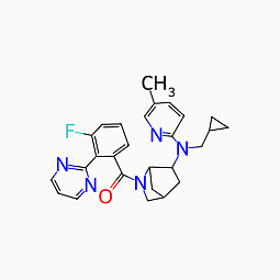 Cc1ccc(N(CC2CC2)C2CC3CC2N(C(=O)c2cccc(F)c2-c2ncccn2)C3)nc1